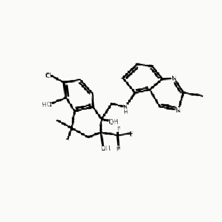 Cc1ncc2c(NCC3(O)c4ccc(Cl)c(O)c4C(C)(C)CC3(O)C(F)(F)F)cccc2n1